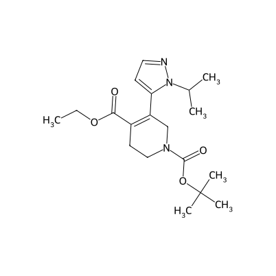 CCOC(=O)C1=C(c2ccnn2C(C)C)CN(C(=O)OC(C)(C)C)CC1